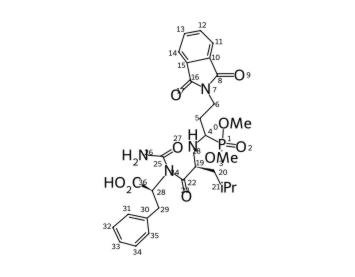 COP(=O)(OC)C(CCN1C(=O)c2ccccc2C1=O)N[C@@H](CC(C)C)C(=O)N(C(N)=O)[C@@H](Cc1ccccc1)C(=O)O